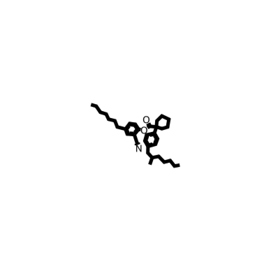 CCCCCCCc1ccc(OC(=O)C2(c3ccc(CC(C)CCCCC)cc3)CCCCC2)c(C#N)c1